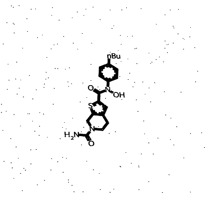 CCCCc1ccc(N(O)C(=O)c2cc3c(s2)CN(C(N)=O)CC3)cc1